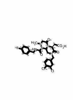 CN1CC(=O)N2C(CN(Cc3ccc(Cl)c(Cl)c3)C(=O)[C@@H]2CC(=O)O)N1C(=O)NCc1ccc(F)cc1